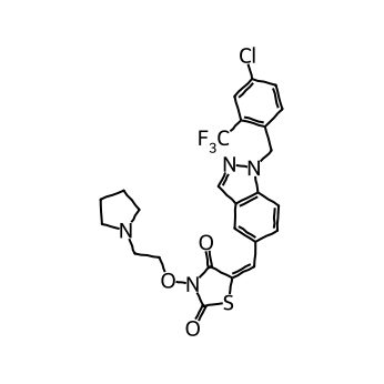 O=C1SC(=Cc2ccc3c(cnn3Cc3ccc(Cl)cc3C(F)(F)F)c2)C(=O)N1OCCN1CCCC1